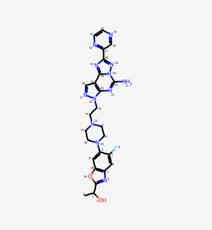 CC(O)c1nc2cc(F)c(N3CCN(CCn4ncc5c4nc(N)n4nc(-c6cnccn6)nc54)CC3)cc2o1